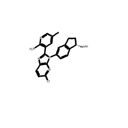 CC(=O)N[C@H]1CCc2cc(-n3c(-c4cc(C)cnc4N)nc4ccc(Cl)nc43)ccc21